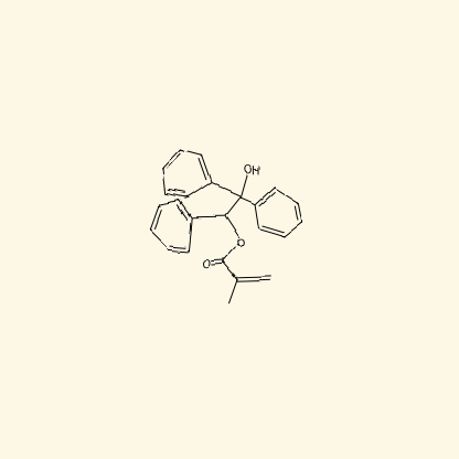 C=C(C)C(=O)OC(c1ccccc1)C(O)(c1ccccc1)c1ccccc1